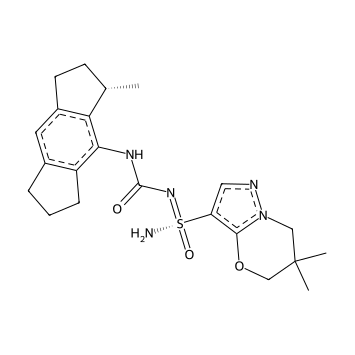 C[C@H]1CCc2cc3c(c(NC(=O)N=[S@](N)(=O)c4cnn5c4OCC(C)(C)C5)c21)CCC3